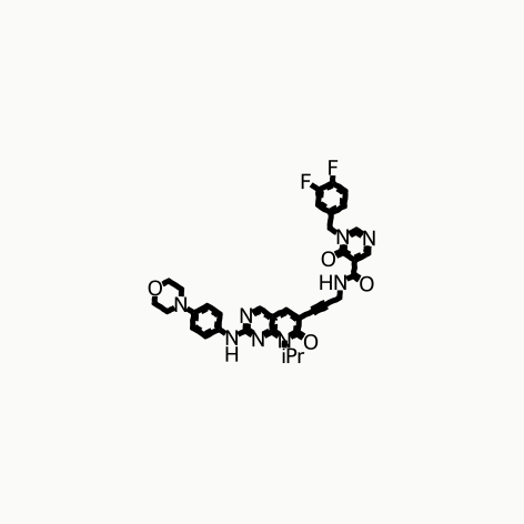 CC(C)n1c(=O)c(C#CCNC(=O)c2cncn(Cc3ccc(F)c(F)c3)c2=O)cc2cnc(Nc3ccc(N4CCOCC4)cc3)nc21